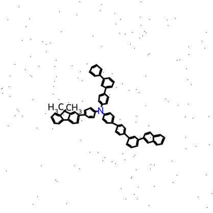 CC1(C)c2ccccc2-c2ccc(-c3ccc(N(c4ccc(-c5ccc(-c6cccc(-c7ccc8ccccc8c7)c6)cc5)cc4)c4ccc(-c5cccc(-c6ccccc6)c5)cc4)cc3)cc21